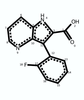 O=C(O)c1[nH]c2cccnc2c1-c1ccccc1F